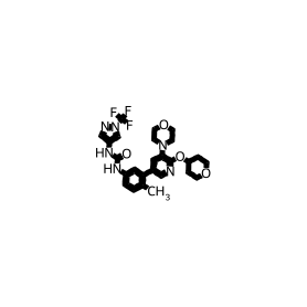 Cc1ccc(NC(=O)Nc2cnn(C(F)(F)F)c2)cc1-c1cnc(OC2CCOCC2)c(N2CCOCC2)c1